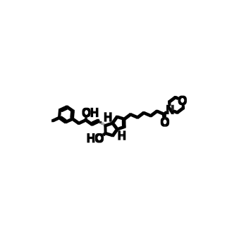 Cc1cccc(C[C@@H](O)/C=C/[C@@H]2[C@H]3CC(CCCCCC(=O)N4CCOCC4)=C[C@H]3C[C@H]2O)c1